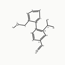 COCc1ccccc1-c1ccc(C=O)cc1C(C)C